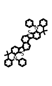 CC1(C)c2ccccc2N(c2ccccc2)c2c1ccc1c2sc2ccc3c(ccc4sc5c6c(ccc5c43)C(C)(C)c3ccccc3N6c3ccccc3)c21